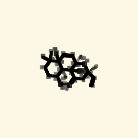 C=C[C@@]1(C)CC(=O)[C@]2(O)[C@@]3(C)[C@@H](O)CCC(C)(C)[C@@H]3C=C[C@@]2(C)O1